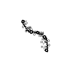 N[C@@H](Cc1ccccc1)C(=O)CCN(N)C(=O)c1cc2ccc(NC(=O)c3ccc4[nH]c(C(=O)Nc5ccc6cc(C(=O)N(N)CCC(=O)[C@@H](N)Cc7ccccc7)[nH]c6c5)cc4c3)cc2[nH]1